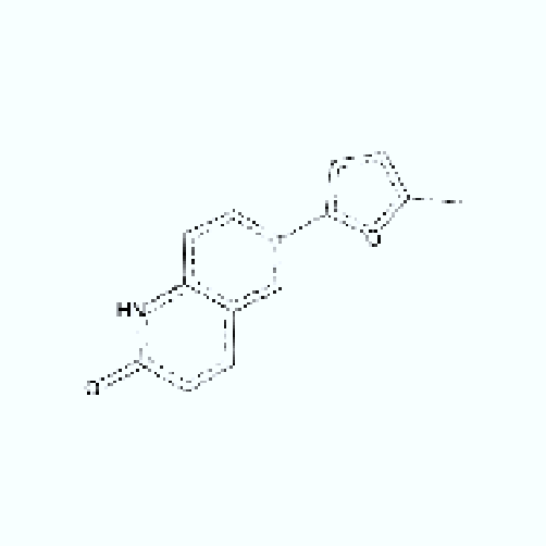 Cc1ccc(-c2ccc3[nH]c(=O)ccc3c2)o1